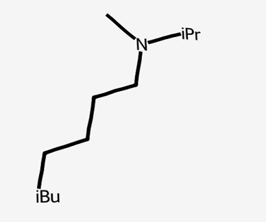 CCC(C)CCCCN(C)C(C)C